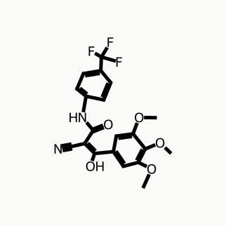 COc1cc(C(O)=C(C#N)C(=O)Nc2ccc(C(F)(F)F)cc2)cc(OC)c1OC